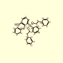 Sc1cccc([Si](OCCc2ccccc2)(OCCc2ccccc2)c2ccccc2)c1Oc1ccccc1